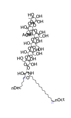 CCCCCCCC/C=C\CCCCCCCCCCCCCC(=O)N[C@@H](CO[C@@H]1OC(CO)[C@@H](O[C@@H]2OC(CO)[C@H](O)[C@H](O[C@H]3OC(CO)[C@H](O)[C@H](O[C@@H]4OC(CO)[C@H](O)[C@H](O[C@@H]5OC(CO)[C@H](O)[C@H](O)C5O[C@H]5OC(C)[C@@H](O)C(O)[C@@H]5O)C4NC(C)=O)C3O)C2O)[C@H](O)C1O)[C@H](O)/C=C/CCCCCCCCCCCCC